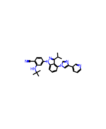 CC(C)c1nn(-c2ccc(C#N)c(NC(C)(C)C)c2)c2cccc(-n3cnc(-c4cccnc4)c3)c12